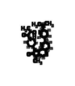 C[C@@H](O)C(=O)N1CCC(n2c(=O)n(C)c3cnc4ccc(-c5ccc(N(C)C)nc5)nc4c32)CC1